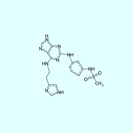 CS(=O)(=O)Nc1cccc(Nc2nc(NCCc3c[nH]cn3)c3nc[nH]c3n2)c1